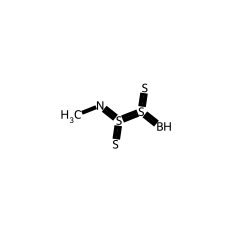 B=S(=S)=S(=S)=NC